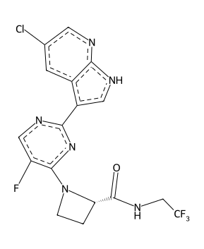 O=C(NCC(F)(F)F)[C@@H]1CCN1c1nc(-c2c[nH]c3ncc(Cl)cc23)ncc1F